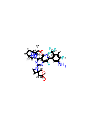 Cc1c(F)c(N)cc(-c2nc3c4c(nc(N5CCC56COC(=O)C6)nc4c2F)N2C[C@H]4CC[C@H](N4)[C@H]2[C@H](C)O3)c1C(F)(F)F